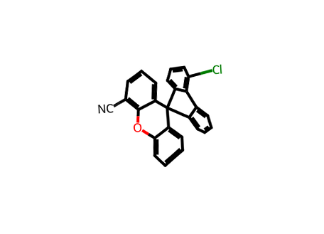 N#Cc1cccc2c1Oc1ccccc1C21c2ccccc2-c2c(Cl)cccc21